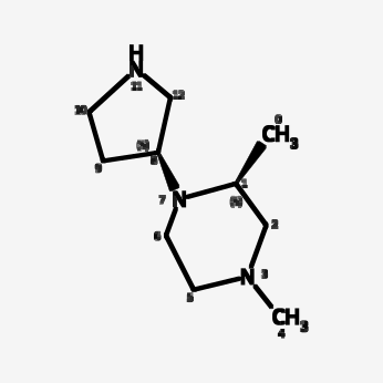 C[C@H]1CN(C)CCN1[C@H]1CCNC1